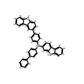 c1ccc(-c2ccc(N(c3ccc(-c4ccc5oc6ccccc6c5c4)cc3)c3ccc4c(c3)sc3ccccc34)cc2)cc1